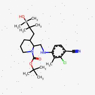 Cc1c(NCC2C(CC(C)(C)[Si](C)(C)O)CCCN2C(=O)OC(C)(C)C)ccc(C#N)c1Cl